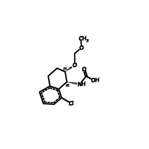 COCO[C@H]1CCc2cccc(Cl)c2[C@H]1NC(=O)O